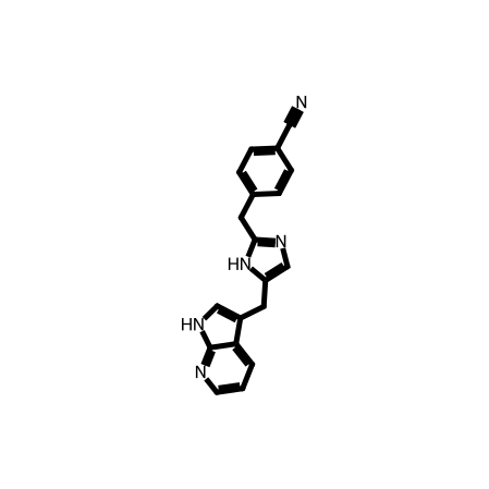 N#Cc1ccc(Cc2ncc(Cc3c[nH]c4ncccc34)[nH]2)cc1